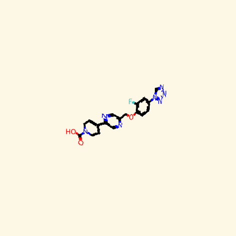 O=C(O)N1CC=C(c2cnc(COc3ccc(-n4cnnn4)cc3F)cn2)CC1